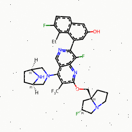 CCc1c(F)ccc2cc(O)cc(-c3ncc4c(N5C[C@H]6CC[C@@H](C5)N6)c(C(F)(F)F)c(OC[C@@]56CCCN5C[C@H](F)C6)nc4c3F)c12